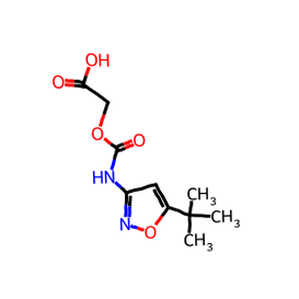 CC(C)(C)c1cc(NC(=O)OCC(=O)O)no1